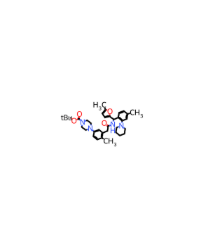 Cc1ccc(C(NC(=O)Cc2cc(N3CCN(C(=O)OC(C)(C)C)CC3)ccc2C)c2ccc(C)o2)c(N2CCCCC2)c1